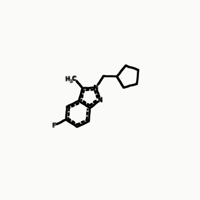 Cc1c2cc(F)ccc2nn1CC1CCCC1